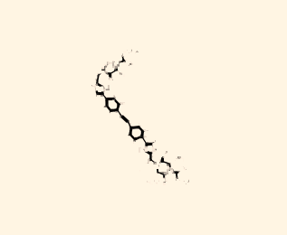 CCCN(Cc1ncc(-c2ccc(C#Cc3ccc(-c4cnc([C@H](C)N(CCNC)C(=O)[C@@H](NC(=O)OC)C(C)C)[nH]4)cc3)cc2)[nH]1)C(=O)[C@@H](NC(=O)OC)C(C)C